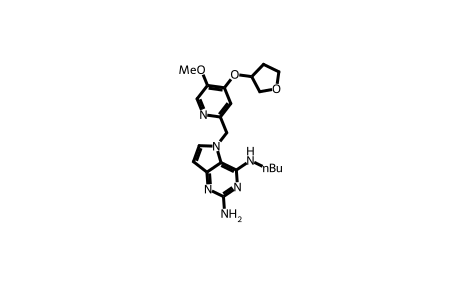 CCCCNc1nc(N)nc2ccn(Cc3cc(OC4CCOC4)c(OC)cn3)c12